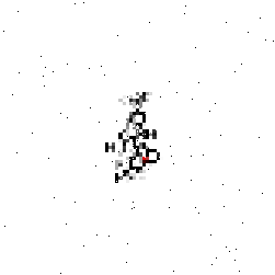 CC(CC1CCCC1)(C(=O)Nc1ccc([N+](=O)[O-])cn1)c1ccc(F)c(C(F)(F)F)c1